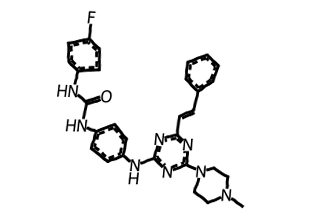 CN1CCN(c2nc(C=Cc3ccccc3)nc(Nc3ccc(NC(=O)Nc4ccc(F)cc4)cc3)n2)CC1